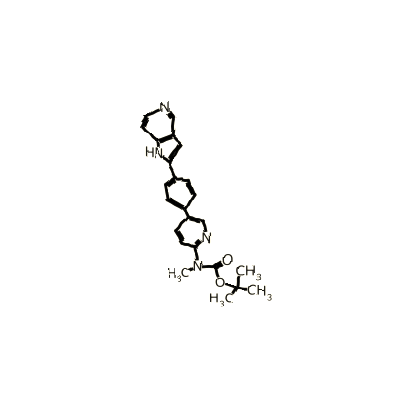 CN(C(=O)OC(C)(C)C)c1ccc(-c2ccc(-c3cc4cnccc4[nH]3)cc2)cn1